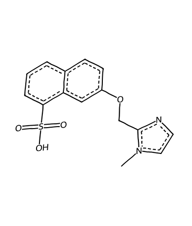 Cn1ccnc1COc1ccc2cccc(S(=O)(=O)O)c2c1